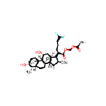 CC(=O)O[C@H]1C[C@@]2(C)[C@@H](C[C@@H](O)[C@H]3[C@@]4(C)CC[C@@H](O)[C@@H](C)[C@@H]4CC[C@@]32C)/C1=C(\CCC=C(F)F)C(=O)OCOC(=O)C(C)(C)C